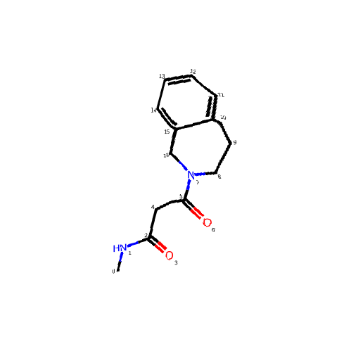 CNC(=O)CC(=O)N1CCc2ccccc2C1